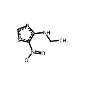 CCNc1ncsc1[N+](=O)[O-]